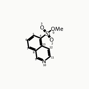 COS(=O)(=O)c1cccc2cnccc12